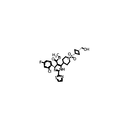 COC(=O)C1=C(C2CCN(S(=O)(=O)[C@H]3C[C@@H](CO)C3)CC2)NC(c2nccs2)=N[C@H]1c1ccc(F)cc1Cl